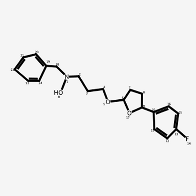 ON(CCCOC1CCC(c2ccc(F)cc2)O1)Cc1ccccc1